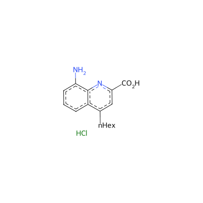 CCCCCCc1cc(C(=O)O)nc2c(N)cccc12.Cl